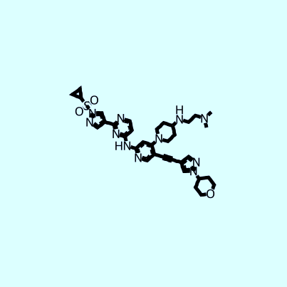 CN(C)CCNC1CCN(c2cc(Nc3ccnc(-c4cnn(S(=O)(=O)C5CC5)c4)n3)ncc2C#Cc2cnn(C3CCOCC3)c2)CC1